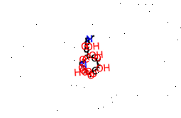 CCCn1ccc2cc(OC3CCC(C=C(C)C4OC(=O)C5CCCCN5C(=O)C(=O)C5(O)OC(C(OC)CC(C)C(O)/C(C)=C/C(CC)C(=O)CC(O)C4C)C(OC)CC5C)CC3O)ccc21